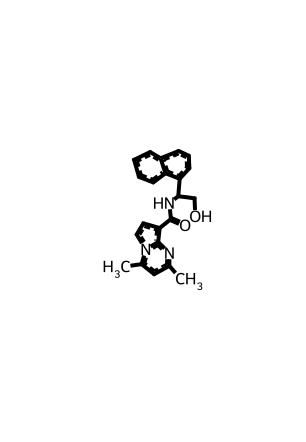 Cc1cc(C)n2ccc(C(=O)NC(CO)c3cccc4ccccc34)c2n1